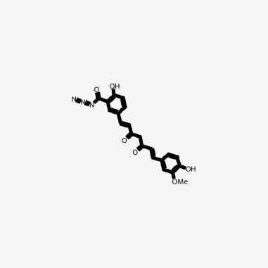 COc1cc(/C=C/C(=O)CC(=O)/C=C/c2ccc(O)c(C(=O)N=[N+]=[N-])c2)ccc1O